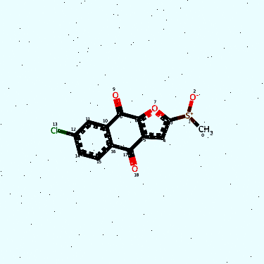 C[S+]([O-])c1cc2c(o1)C(=O)c1cc(Cl)ccc1C2=O